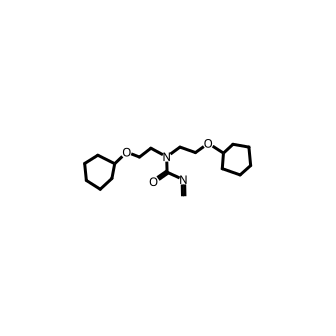 C=NC(=O)N(CCOC1CCCCC1)CCOC1CCCCC1